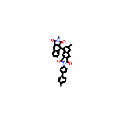 Cc1ccc(-c2ccc(N3C(=O)c4cc5cc(C)cc(-c6c7c(cc8ccccc68)C(=O)N(C)C7=O)c5cc4C3=O)cc2)cc1